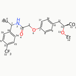 CCCCC(NC(=O)COc1ccc(C[C@H](OCC)C(=O)O)cc1)c1ccc(C(F)(F)F)cc1